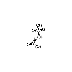 [O]=[V](=[O])[OH].[O]=[W](=[O])([OH])[OH]